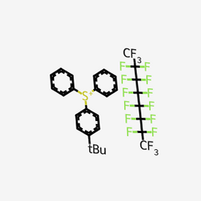 CC(C)(C)c1ccc([S+](c2ccccc2)c2ccccc2)cc1.FC(F)(F)C(F)(F)C(F)(F)C(F)(F)C(F)(F)C(F)(F)C(F)(F)C(F)(F)F